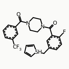 O=C(c1cccc(C(F)(F)F)c1)N1CCN(C(=O)c2cc(C[SH]3C=CC=C3)ccc2F)CC1